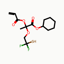 C=CC(=O)OC(C)(OCC(F)(F)S)C(=O)OC1CCCCC1